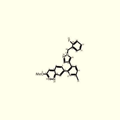 COc1cc2ccc(-c3nc(C)ccc3-c3cnn(Cc4ccccc4F)c3)cc2nn1